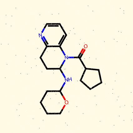 O=C(C1CCCC1)N1c2cccnc2CCC1NC1CCCCO1